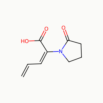 C=CC=C(C(=O)O)N1CCCC1=O